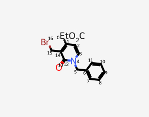 CCOC(=O)c1ccn(Cc2ccccc2)c(=O)c1CBr